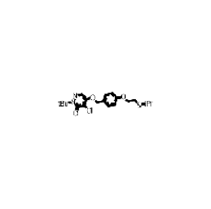 CC(C)SCCOc1ccc(COc2cnn(C(C)(C)C)c(=O)c2Cl)cc1